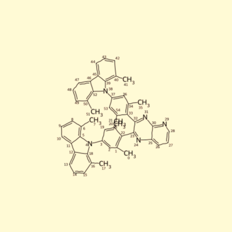 Cc1cc(-n2c3c(C)cccc3c3cccc(C)c32)cc(C)c1-c1nc2cccnc2nc1-c1c(C)cc(-n2c3c(C)cccc3c3cccc(C)c32)cc1C